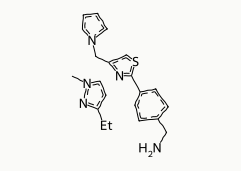 CCc1ccn(C)n1.NCc1ccc(-c2nc(Cn3cccc3)cs2)cc1